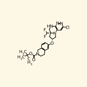 CC(C)(C)OC(=O)N1CCc2cc(O[C@H]3CN4c5cc(Cl)nnc5NC[C@@]4(C(F)F)C3)ccc2C1